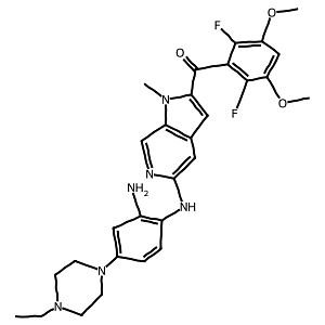 CCN1CCN(c2ccc(Nc3cc4cc(C(=O)c5c(F)c(OC)cc(OC)c5F)n(C)c4cn3)c(N)c2)CC1